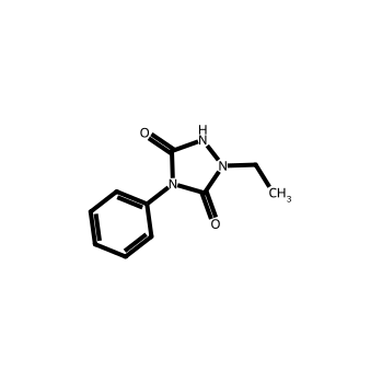 CCn1[nH]c(=O)n(-c2ccccc2)c1=O